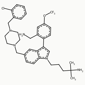 CC(C)(N)CCCn1cc(-c2ccc(OC(F)(F)F)cc2CN)c2cc(CN3CCN(Cc4ccccc4Cl)CC3)ccc21